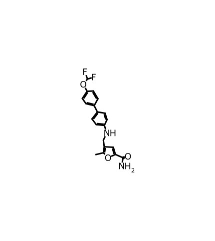 Cc1oc(C(N)=O)cc1CNc1ccc(-c2ccc(OC(F)F)cc2)cc1